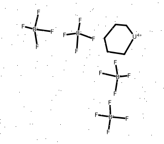 C1C[CH2][U+4][CH2]C1.F[B-](F)(F)F.F[B-](F)(F)F.F[B-](F)(F)F.F[B-](F)(F)F